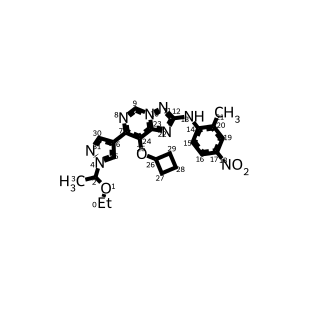 CCOC(C)n1cc(-c2ncn3nc(Nc4ccc([N+](=O)[O-])cc4C)nc3c2OC2CCC2)cn1